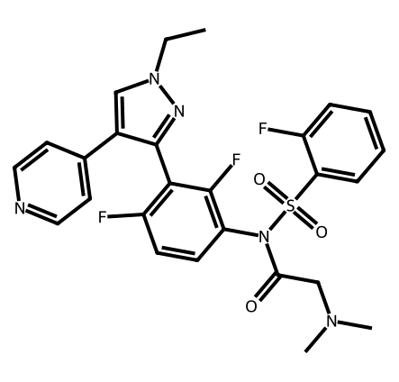 CCn1cc(-c2ccncc2)c(-c2c(F)ccc(N(C(=O)CN(C)C)S(=O)(=O)c3ccccc3F)c2F)n1